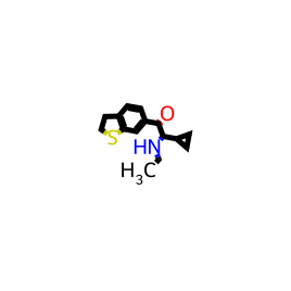 CCNC(C(=O)c1ccc2c(c1)SCC2)C1CC1